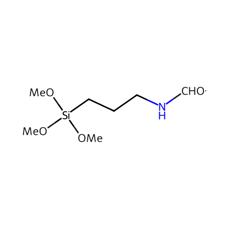 CO[Si](CCCN[C]=O)(OC)OC